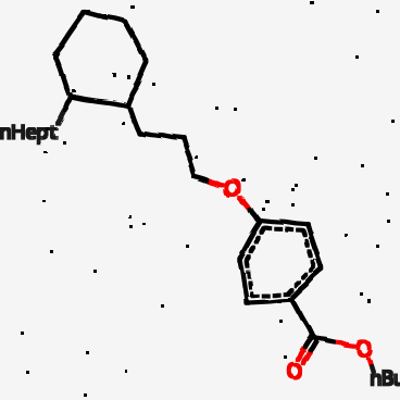 CCCCCCCC1CCCCC1CCCOc1ccc(C(=O)OCCCC)cc1